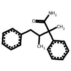 CC(Cc1ccccc1)C(C)(C(N)=O)c1ccccc1